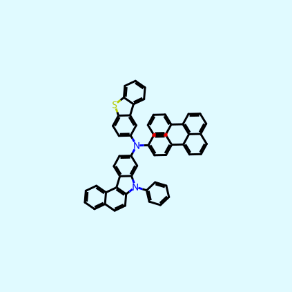 c1ccc(-c2cccc3cccc(-c4ccc(N(c5ccc6sc7ccccc7c6c5)c5ccc6c7c8ccccc8ccc7n(-c7ccccc7)c6c5)cc4)c23)cc1